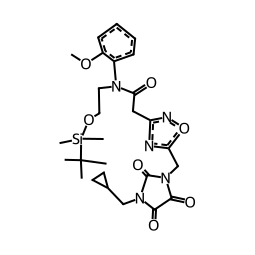 COc1ccccc1N(CCO[Si](C)(C)C(C)(C)C)C(=O)Cc1noc(CN2C(=O)C(=O)N(CC3CC3)C2=O)n1